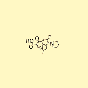 CC1Cc2c(N3CCCCC3)c(F)cc3c(=O)c(C(=O)O)cn1c23